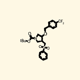 CC(C)(C)OC(=O)N1CC(CS(=O)(=O)c2ccccc2)C(OCc2ccc(C(F)(F)F)cc2)C1